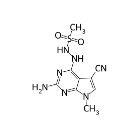 Cn1cc(C#N)c2c(NNS(C)(=O)=O)nc(N)nc21